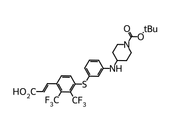 CC(C)(C)OC(=O)N1CCC(Nc2cccc(Sc3ccc(/C=C/C(=O)O)c(C(F)(F)F)c3C(F)(F)F)c2)CC1